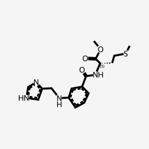 COC(=O)[C@H](CCSC)NC(=O)c1cccc(NCc2c[nH]cn2)c1